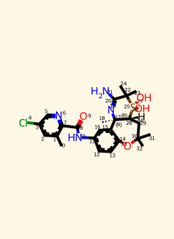 Cc1cc(Cl)cnc1C(=O)Nc1ccc2c(c1)[C@@]1(C)N=C(N)C(C)(C)S(O)(O)[C@@H]1CC(C)(C)O2